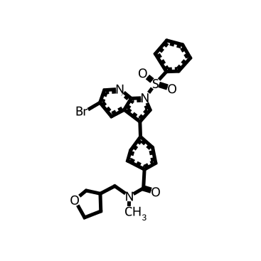 CN(CC1CCOC1)C(=O)c1ccc(-c2cn(S(=O)(=O)c3ccccc3)c3ncc(Br)cc23)cc1